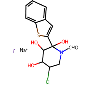 O=CN1CC(Cl)C(O)C(O)C1(O)c1cc2ccccc2s1.[I-].[Na+]